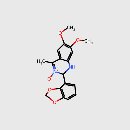 COc1cc2c(cc1OC)C(C)=[N+]([O-])C(c1cccc3c1OCO3)N2